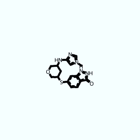 Cn1cnc(NC2COCC(Sc3ccc4c(=O)[nH][nH]c4c3)C2)c1